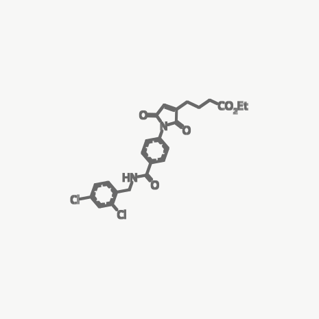 CCOC(=O)CCCC1=CC(=O)N(c2ccc(C(=O)NCc3ccc(Cl)cc3Cl)cc2)C1=O